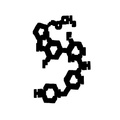 COC[C@H]1CCc2nc3c(F)cc(-c4nc(Nc5ccc(CN6CCNCC6)cn5)ncc4F)cc3n21